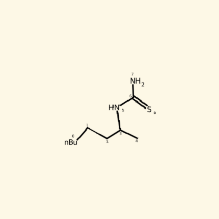 CCCCCCC(C)NC(N)=S